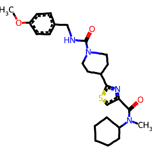 COc1ccc(CNC(=O)N2CCC(c3nc(C(=O)N(C)C4CCCCC4)cs3)CC2)cc1